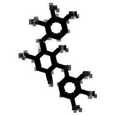 CC1=C(Nc2ccc(N)c(C)c2C)C(=O)C=C(N)/C1=N/c1ccc(N)c(C)c1C